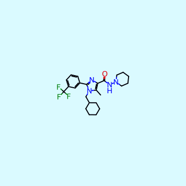 Cc1c(C(=O)NN2CCCCC2)nc(-c2cccc(C(F)(F)F)c2)n1CC1CCCCC1